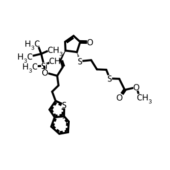 COC(=O)CSCCCS[C@H]1C(=O)C=C[C@@H]1/C=C/C(CCc1cc2ccccc2s1)O[Si](C)(C)C(C)(C)C